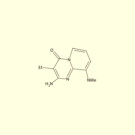 CCc1c(N)nc2c(NC)cccn2c1=O